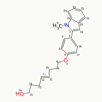 Cn1c(-c2ccc(OCCC/C=C/CCCO)cc2)cc2ccccc21